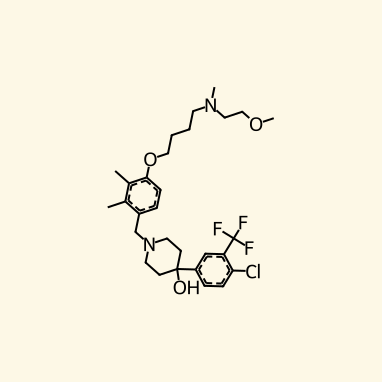 COCCN(C)CCCCOc1ccc(CN2CCC(O)(c3ccc(Cl)c(C(F)(F)F)c3)CC2)c(C)c1C